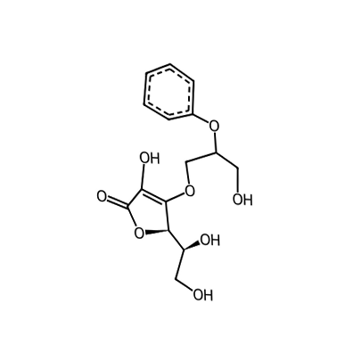 O=C1O[C@H]([C@@H](O)CO)C(OCC(CO)Oc2ccccc2)=C1O